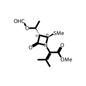 COC(=O)C(=C(C)C)N1C(=O)[C@H](C(C)OC=O)[C@H]1SC